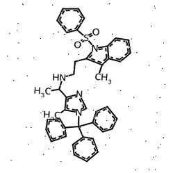 Cc1c(CCNC(C)c2ncn(C(c3ccccc3)(c3ccccc3)c3ccccc3)c2C)n(S(=O)(=O)c2ccccc2)c2ccccc12